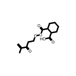 C=C(C)C(=O)CCOOC(=O)C1CCCCC1C(=O)O